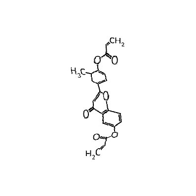 C=CC(=O)OC1=CC=C(c2cc(=O)c3cc(OC(=O)C=C)ccc3o2)CC1C